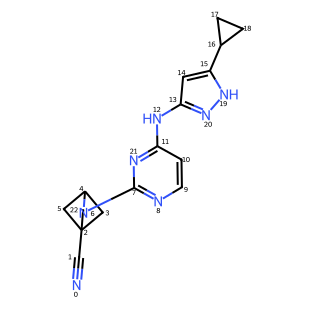 N#CC12CC(C1)N(c1nccc(Nc3cc(C4CC4)[nH]n3)n1)C2